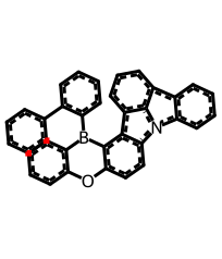 c1ccc(-c2ccccc2B2c3ccccc3Oc3ccc4c(c32)c2cccc3c5ccccc5n4c32)cc1